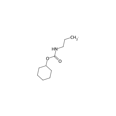 [CH2]CCNC(=O)OC1CCCCC1